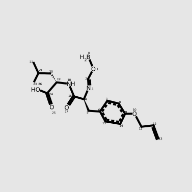 BOC=N[C@@H](Cc1ccc(OCC=C)cc1)C(=O)N[C@@H](CC(C)C)C(=O)O